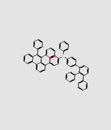 c1ccc(-c2cccc(-c3ccc(N(c4ccccc4)c4ccc(-c5cccc6c5c(-c5ccccc5)c(-c5ccccc5)c5ccccc56)cc4)cc3)c2-c2ccccc2)cc1